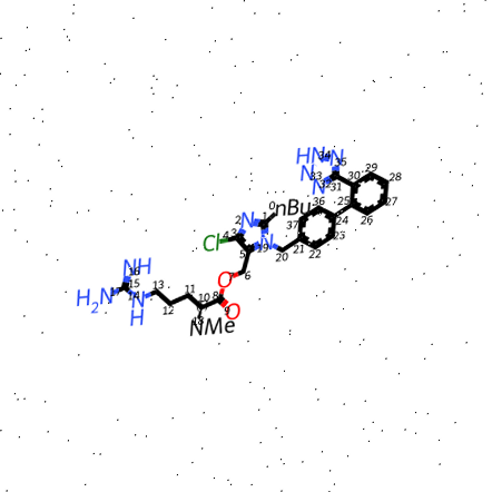 CCCCc1nc(Cl)c(COC(=O)[C@H](CCCNC(=N)N)NC)n1Cc1ccc(-c2ccccc2-c2nn[nH]n2)cc1